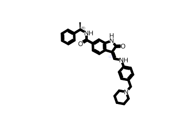 C[C@@H](NC(=O)c1ccc2c(c1)NC(=O)/C2=C\Nc1ccc(CN2CCCCC2)cc1)c1ccccc1